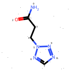 NC(=O)CCn1ncnn1